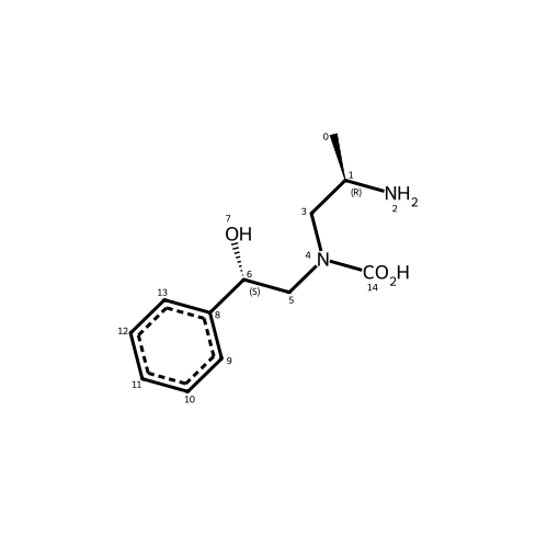 C[C@@H](N)CN(C[C@@H](O)c1ccccc1)C(=O)O